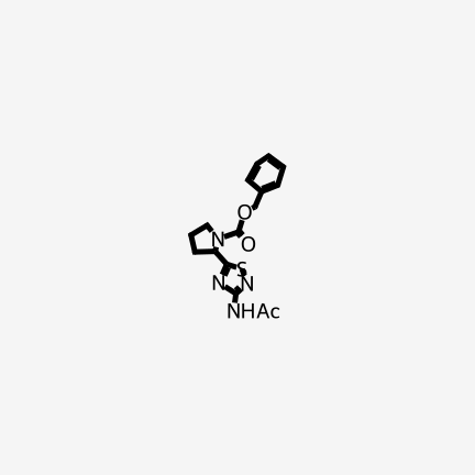 CC(=O)Nc1nsc(C2CCCN2C(=O)OCc2ccccc2)n1